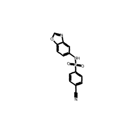 N#Cc1ccc(S(=O)(=O)Nc2ccc3ocnc3c2)cc1